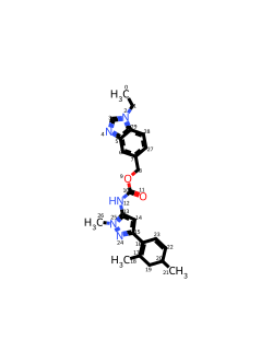 CCn1cnc2cc(COC(=O)Nc3cc(C4=C(C)CC(C)C=C4)nn3C)ccc21